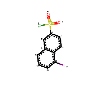 O=S(=O)(Cl)c1ccc2c(I)cccc2c1